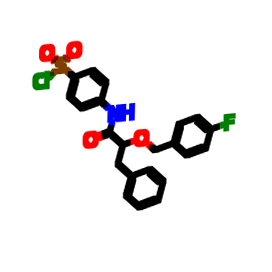 O=C(Nc1ccc(S(=O)(=O)Cl)cc1)C(Cc1ccccc1)OCc1ccc(F)cc1